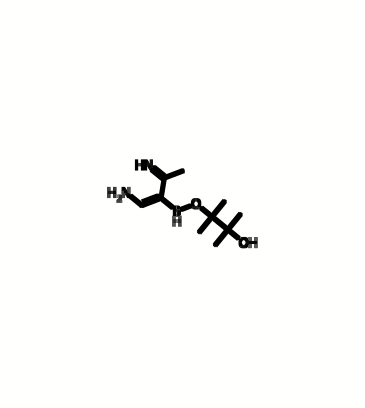 CC(=N)/C(BOC(C)(C)C(C)(C)O)=C\N